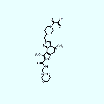 CCC(=O)C(=O)N1CCC(Cn2cc3c(n2)-c2c(oc(C(=O)NC[C@@H]4COCCO4)c2C(F)(F)F)C[C@@H]3C)CC1